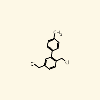 Cc1ccc(-c2cc(CCl)ccc2CCl)cc1